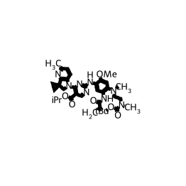 C=CC(=O)Nc1cc(Nc2ncc(C(=O)OC(C)C)c(N3CC4(CC4)c4nc(C)ccc43)n2)c(OC)cc1N(C)CCN(C)C(=O)OC(C)(C)C